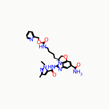 CCn1nc(C)cc1C(=O)Nc1nc2cc(C(N)=O)cc3c2n1[C@@H](CCCCNC(=O)OCc1ccccn1)CO3